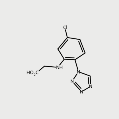 O=C(O)CNc1cc(Cl)ccc1-n1cnnn1